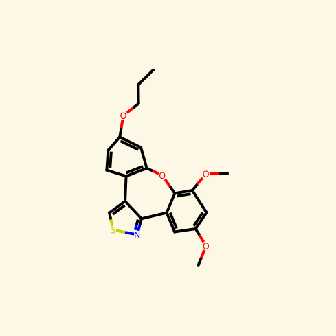 CCCOc1ccc2c(c1)Oc1c(OC)cc(OC)cc1-c1nscc1-2